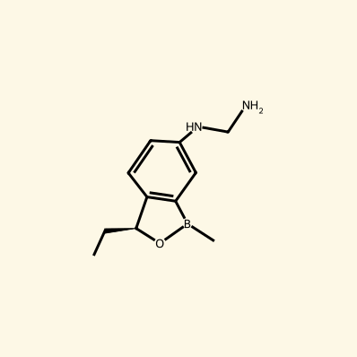 CC[C@@H]1OB(C)c2cc(NCN)ccc21